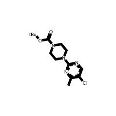 Cc1nc(N2CCN(C(=O)OC(C)(C)C)CC2)ncc1Cl